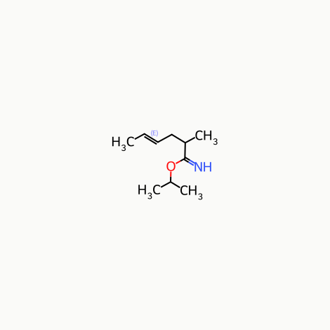 C/C=C/CC(C)C(=N)OC(C)C